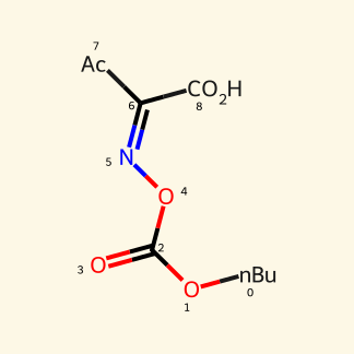 CCCCOC(=O)ON=C(C(C)=O)C(=O)O